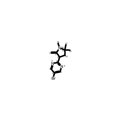 C=C1C(c2ncc(Br)cn2)CC(C)(C)N1C